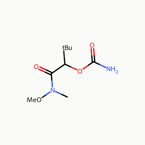 CON(C)C(=O)C(OC(N)=O)C(C)(C)C